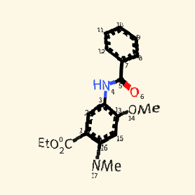 CCOC(=O)c1cc(NC(=O)c2ccccc2)c(OC)cc1NC